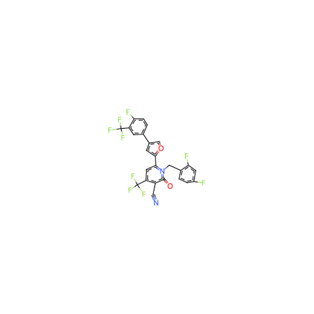 N#Cc1c(C(F)(F)F)cc(-c2cc(-c3ccc(F)c(C(F)(F)F)c3)co2)n(Cc2ccc(F)cc2F)c1=O